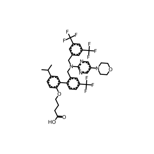 CC(C)c1ccc(OCCCC(=O)O)c(-c2ccc(C(F)(F)F)cc2CN(Cc2cc(C(F)(F)F)cc(C(F)(F)F)c2)c2ncc(N3CCOCC3)cn2)c1